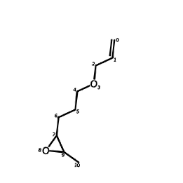 C=CCOCCCC1OC1C